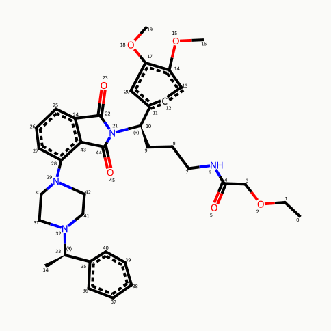 CCOCC(=O)NCCC[C@H](c1ccc(OC)c(OC)c1)N1C(=O)c2cccc(N3CCN([C@H](C)c4ccccc4)CC3)c2C1=O